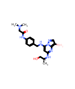 Bc1cnn2c(NCc3ccc(NC(=O)CN(C)C)cc3)cc(N[C@@H](C)CO)nc12